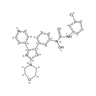 O=C(Nc1cccc(Cl)c1)N(O)c1cccc(-c2sc(N3CCOCC3)nc2-c2ccncc2)c1